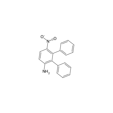 Nc1ccc([N+](=O)[O-])c(-c2ccccc2)c1-c1ccccc1